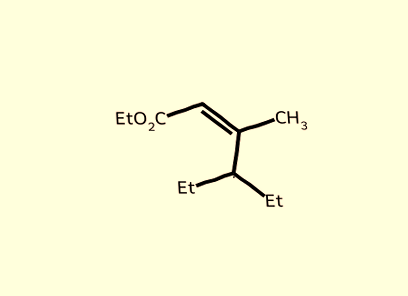 CCOC(=O)C=C(C)[C](CC)CC